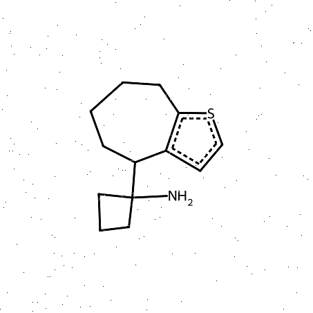 NC1(C2CCCCc3sccc32)CCC1